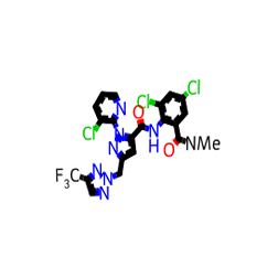 CNC(=O)c1cc(Cl)cc(Cl)c1NC(=O)c1cc(Cn2ncc(C(F)(F)F)n2)nn1-c1ncccc1Cl